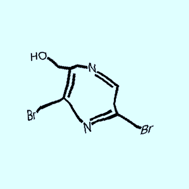 Oc1ncc(Br)nc1Br